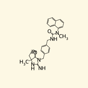 CC(C)CC1(C)NC(=N)N(Cc2ccc(CNC(=O)N(C)c3cccc4ccccc34)cc2)C1=O